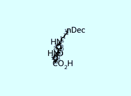 CCCCCCCCCCCCCCCCNc1ccc(C(=O)Nc2ccc(C(=O)O)cc2)cc1